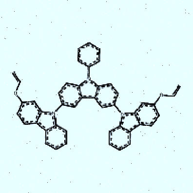 C=COc1ccc2c3ccccc3n(-c3ccc4c(c3)c3cc(-n5c6ccccc6c6ccc(OC=C)cc65)ccc3n4-c3ccccc3)c2c1